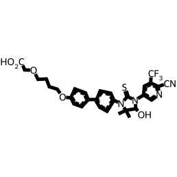 CC1(C)C(O)N(c2cnc(C#N)c(C(F)(F)F)c2)C(=S)N1c1ccc(-c2ccc(OCCCCOCC(=O)O)cc2)cc1